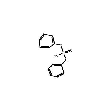 S=P(S)(Oc1ccccc1)Oc1ccccc1